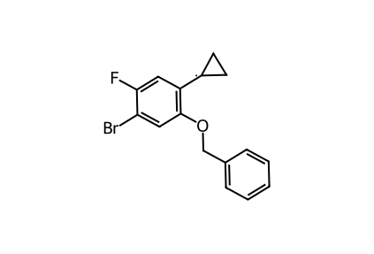 Fc1cc([C]2CC2)c(OCc2ccccc2)cc1Br